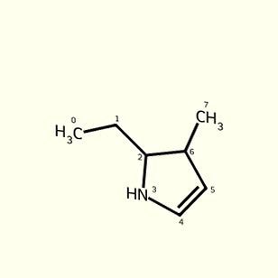 CCC1NC=CC1C